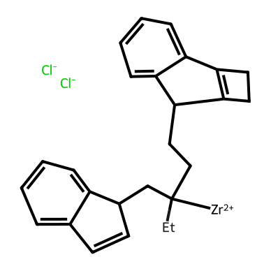 CC[C]([Zr+2])(CCC1C2=C(CC2)c2ccccc21)CC1C=Cc2ccccc21.[Cl-].[Cl-]